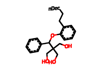 CCCCCCCCCCCCc1ccccc1OC(c1ccccc1)C(CO)(CO)CO